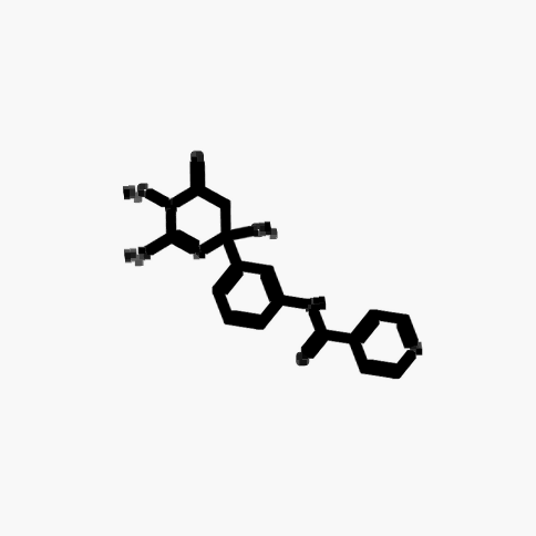 CN1C(=O)CC(C)(c2cccc(NC(=O)c3ccncc3)c2)N=C1N